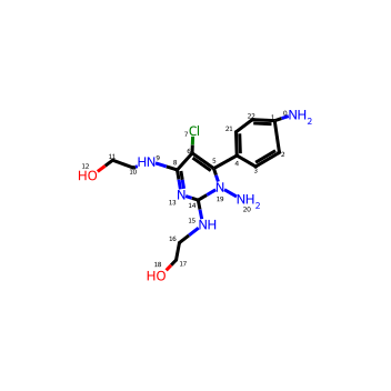 Nc1ccc(C2=C(Cl)C(NCCO)=NC(NCCO)N2N)cc1